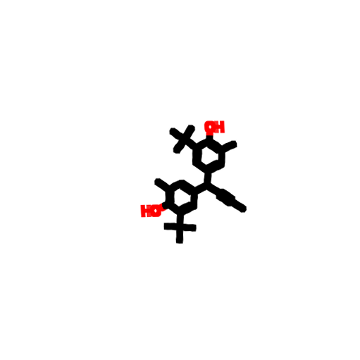 CC#CC(c1cc(C)c(O)c(C(C)(C)C)c1)c1cc(C)c(O)c(C(C)(C)C)c1